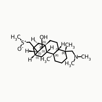 CN(C)C[C@]1(C)CCC[C@]2(C)[C@@H]1CC[C@@]13CC[C@@H](C[C@@H]21)[C@H](C[S+](C)[O-])[C@H]3O